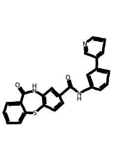 O=C(Nc1cccc(-c2cccnc2)c1)c1ccc2c(c1)NC(=O)c1ccccc1S2